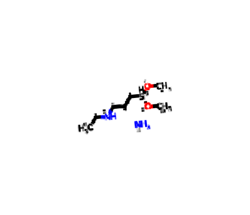 CCNCCC[SiH](OC)OC.N